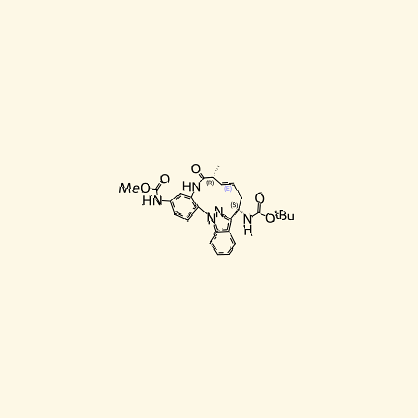 COC(=O)Nc1ccc2c(c1)NC(=O)[C@H](C)/C=C/C[C@H](NC(=O)OC(C)(C)C)c1nn-2c2ccccc12